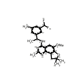 COc1cc2c(NC(C)c3cc(N)cc(C(F)F)c3)nc(C)nc2c2c1OC(C)(C)C2